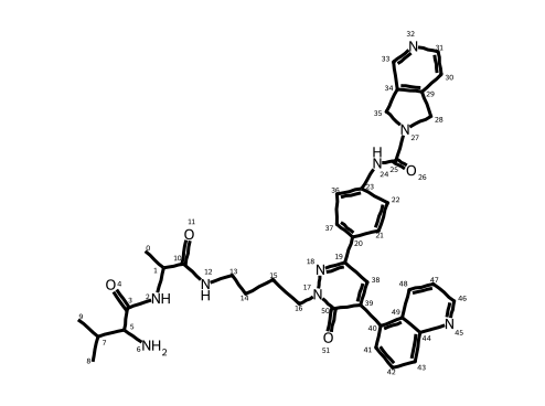 CC(NC(=O)C(N)C(C)C)C(=O)NCCCCn1nc(-c2ccc(NC(=O)N3Cc4ccncc4C3)cc2)cc(-c2cccc3ncccc23)c1=O